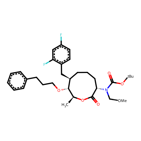 COCN(C(=O)OC(C)(C)C)[C@H]1CCC[C@H](Cc2ccc(F)cc2F)[C@@H](OCCCc2ccccc2)[C@H](C)OC1=O